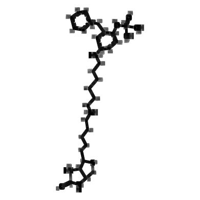 O=C1NC2CSC(CCCCCNCCCCCCNc3ccc(OP(=O)(O)O)c(C[n+]4ccccc4)c3)C2N1